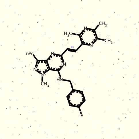 CCCc1nn(C)c2c(NCc3ccc(F)cc3)nc(/C=C/c3nc(C)c(C)nc3C)nc12